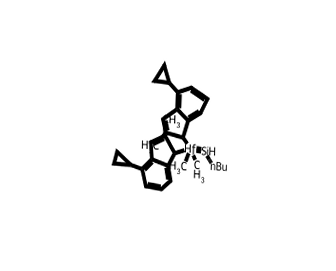 CCCC[SiH]=[Hf]([CH3])([CH3])([CH]1C(C)=Cc2c(C3CC3)cccc21)[CH]1C(C)=Cc2c(C3CC3)cccc21